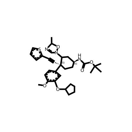 COc1ccc([C@]2(C#Cc3cccs3)CC[C@H](NC(=O)OC(C)(C)C)CC2N2C=NC(C)O2)cc1OC1CCCC1